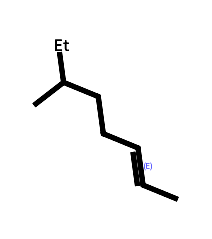 [CH2]CC(C)CC/C=C/C